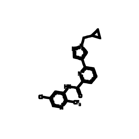 O=C(Nc1cc(Cl)cnc1C(F)(F)F)c1cccc(-c2cnn(CC3CC3)c2)n1